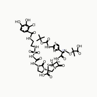 CC(C)(C)OC(=O)Nc1nc(/C(=N/OC(C)(C)C(=O)O)C(=O)N[C@@H]2C(=O)N3C[C@@](C(=O)O)(N4CCN(NC(=O)NS(=O)(=O)NCCNC(=O)c5ccc(O)c(O)c5Cl)C4=O)S[C@H]23)cs1